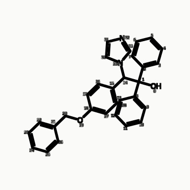 OC(c1ccccc1)(c1ccccc1)C(c1ccc(OCc2ccccc2)cc1)n1ccnc1